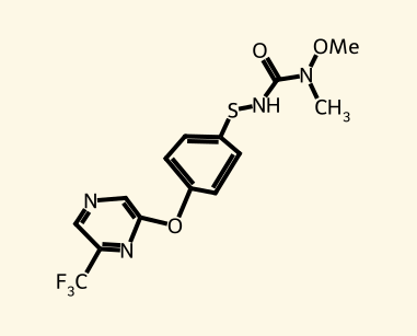 CON(C)C(=O)NSc1ccc(Oc2cncc(C(F)(F)F)n2)cc1